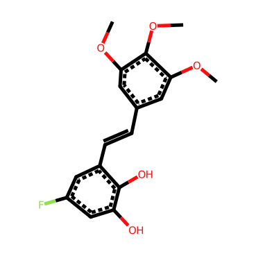 COc1cc(C=Cc2cc(F)cc(O)c2O)cc(OC)c1OC